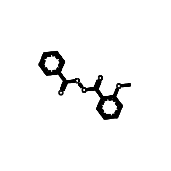 COc1ccccc1C(=O)OOC(=O)c1ccccc1